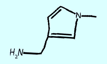 Cn1ccc(CN)c1